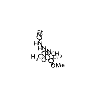 CCN1CCC(NCCNc2cc(C)nc3c(-c4c(Cl)cc(OC)cc4Cl)c(C)nn23)CC1